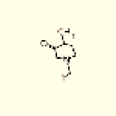 CC1CCN(CI)CC1=O